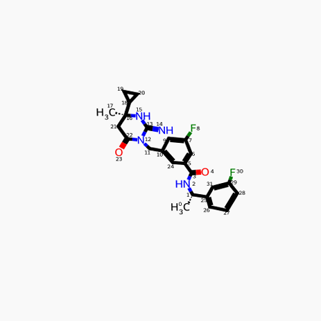 C[C@H](NC(=O)c1cc(F)cc(CN2C(=N)N[C@](C)(C3CC3)CC2=O)c1)c1cccc(F)c1